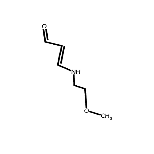 COCCNC=CC=O